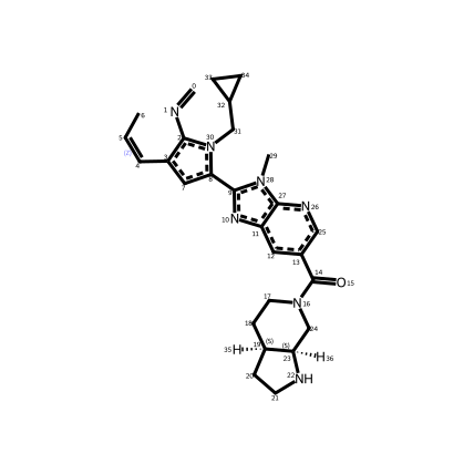 C=Nc1c(/C=C\C)cc(-c2nc3cc(C(=O)N4CC[C@@H]5CCN[C@@H]5C4)cnc3n2C)n1CC1CC1